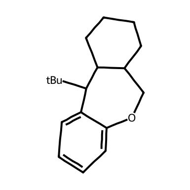 CC(C)(C)C1c2ccccc2OCC2CCCCC21